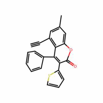 C#Cc1cc(C)cc2oc(=O)c(-c3cccs3)c(-c3ccccc3)c12